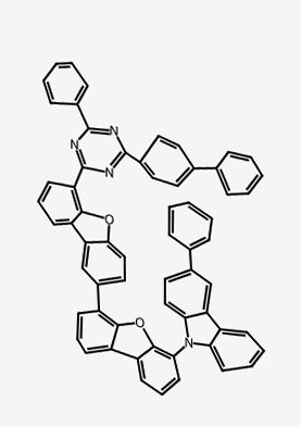 c1ccc(-c2ccc(-c3nc(-c4ccccc4)nc(-c4cccc5c4oc4ccc(-c6cccc7c6oc6c(-n8c9ccccc9c9cc(-c%10ccccc%10)ccc98)cccc67)cc45)n3)cc2)cc1